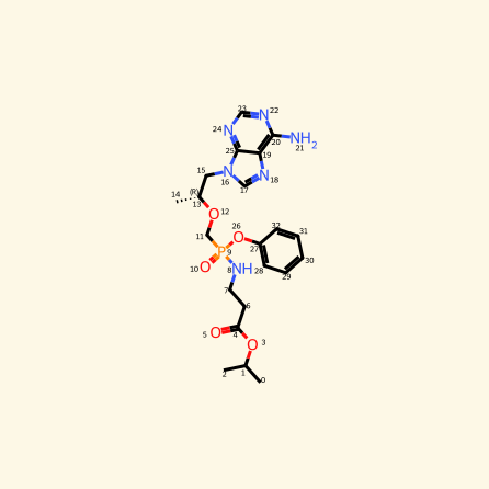 CC(C)OC(=O)CCNP(=O)(CO[C@H](C)Cn1cnc2c(N)ncnc21)Oc1ccccc1